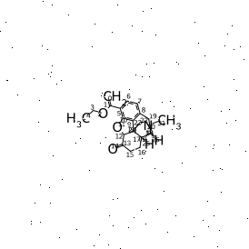 C=C(OCC)c1ccc2c3c1OC1C(=O)CC[C@H]4[C@@H](C2)N(C)CC[C@]314